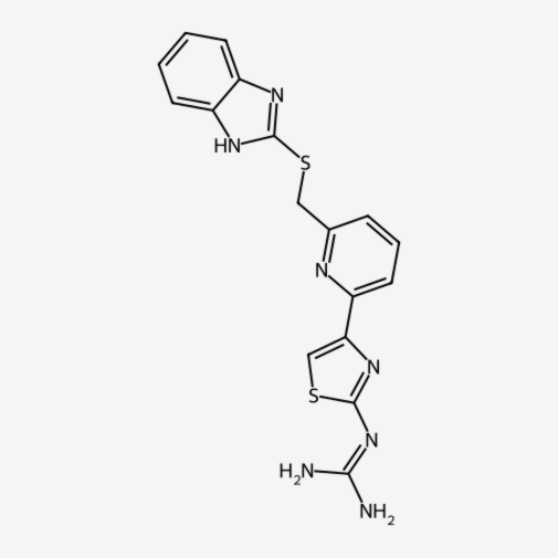 NC(N)=Nc1nc(-c2cccc(CSc3nc4ccccc4[nH]3)n2)cs1